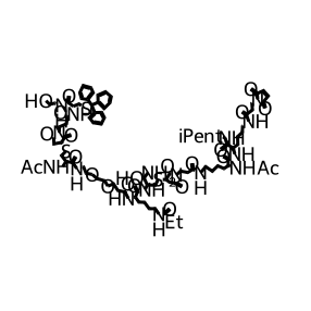 CCCC(C)NC(=O)C(CCCCNC(=O)CCN1C(=O)C=CC1=O)NC(=O)C(CCCCNC(=O)CCN1C(=O)CC(SCC(NC(=O)C(CCCCNC(=O)CC)NC(=O)CCOCCOCCNC(=O)C(CSC2CC(=O)N(CCC(=O)NC(CSC(c3ccccc3)(c3ccccc3)c3ccccc3)C(=O)NCCO)C2=O)NC(C)=O)C(N)O)C1=O)NC(C)=O